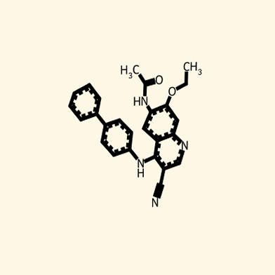 CCOc1cc2ncc(C#N)c(Nc3ccc(-c4ccccc4)cc3)c2cc1NC(C)=O